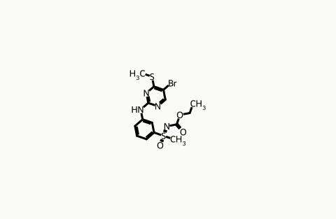 CCOC(=O)N=S(C)(=O)c1cccc(Nc2ncc(Br)c(SC)n2)c1